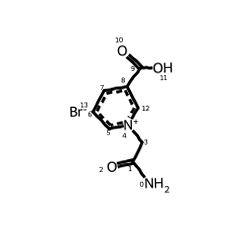 NC(=O)C[n+]1cccc(C(=O)O)c1.[Br-]